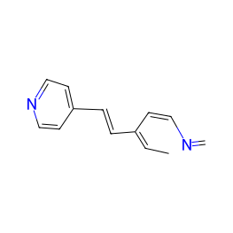 C=N\C=C/C(=C\C)/C=C/c1ccncc1